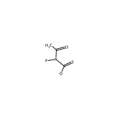 CC(=O)N(F)C([O])=S